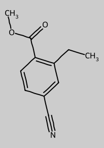 CCc1cc(C#N)ccc1C(=O)OC